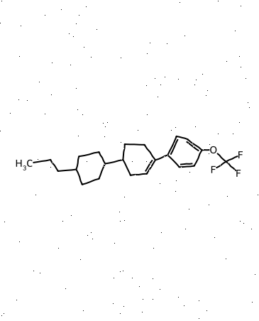 CCCC1CCC(C2CC=C(c3ccc(OC(F)(F)F)cc3)CC2)CC1